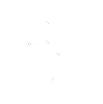 COc1ccc(C#N)cc1N1CCC(N2CCC(Cc3cc(F)ccc3F)CC2)CC1